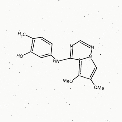 COc1cn2ncnc(Nc3ccc(C)c(O)c3)c2c1OC